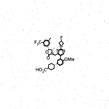 COc1ccc([C@H]2CC[C@H](C(=O)O)CC2)cc1-c1cnc(N2CC(F)C2)nc1CN1C(=O)O[C@H](c2cc(C)cc(C(F)(F)F)c2)[C@@H]1C